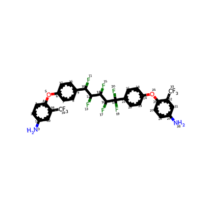 Nc1ccc(Oc2ccc(C(F)C(F)C(F)C(F)C(F)(F)c3ccc(Oc4ccc(N)cc4C(F)(F)F)cc3)cc2)c(C(F)(F)F)c1